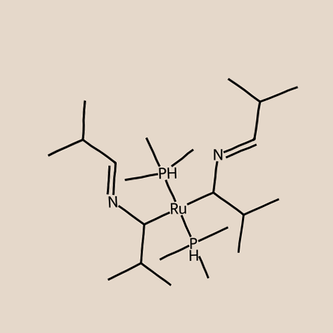 CC(C)C=N[CH](C(C)C)[Ru]([CH](N=CC(C)C)C(C)C)([PH](C)(C)C)[PH](C)(C)C